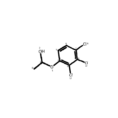 CC(O)Oc1ccc(Cl)c(Cl)c1Cl